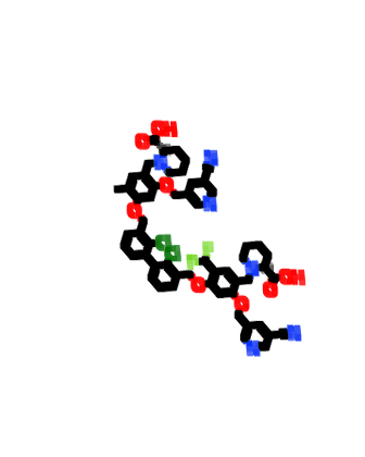 Cc1cc(CN2CCCC[C@H]2C(=O)O)c(OCc2cncc(C#N)c2)cc1OCc1cccc(-c2cccc(COc3cc(OCc4cncc(C#N)c4)c(CN4CCCC[C@H]4C(=O)O)cc3C(F)F)c2Cl)c1Cl